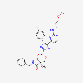 COCCCNc1nccc(-c2[nH]c(C3OCC(C)(C(=O)NCc4ccccc4)CO3)nc2-c2ccc(F)cc2)n1